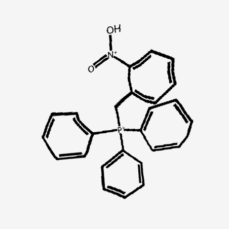 O=[N+](O)c1ccccc1C[P+](c1ccccc1)(c1ccccc1)c1ccccc1